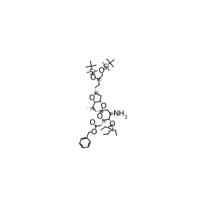 CC[Si](CC)(CC)OC1[C@H](CC(=O)OCc2ccccc2)O[C@]2(C[C@H](C)C3O[C@H](CC[C@H](CO[Si](C)(C)C(C)(C)C)O[Si](C)(C)C(C)(C)C)CC3O2)C[C@@H]1N